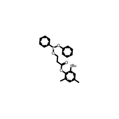 Cc1cc(C)c(OC(=O)CCOP(Oc2ccccc2)c2ccccc2)c(C(C)(C)C)c1